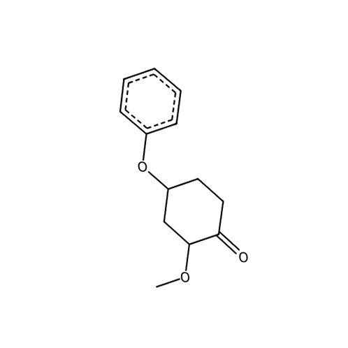 COC1CC(Oc2ccccc2)CCC1=O